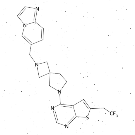 FC(F)(F)Cc1cc2c(N3CCC4(CN(Cc5ccc6nccn6c5)C4)C3)ncnc2s1